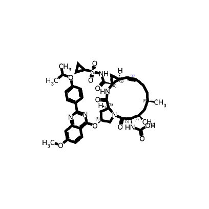 COc1ccc2c(O[C@@H]3C[C@H]4C(=O)N[C@]5(C(=O)NS(=O)(=O)C6CC6)C[C@H]5/C=C\CC[C@@H](C)C[C@@H](C)[C@H](NC(=O)O)C(=O)N4C3)nc(-c3ccc(OC(C)C)cc3)nc2c1